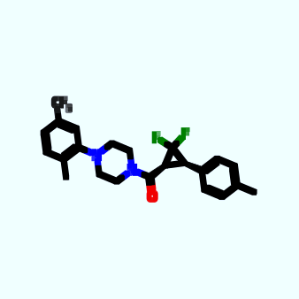 Cc1ccc([C@H]2[C@@H](C(=O)N3CCN(c4cc(C(F)(F)F)ccc4C)CC3)C2(F)F)cc1